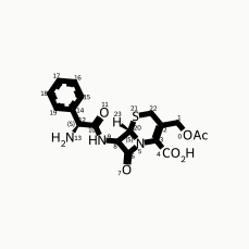 CC(=O)OCC1=C(C(=O)O)N2C(=O)C(NC(=O)[C@@H](N)c3ccccc3)[C@@H]2SC1